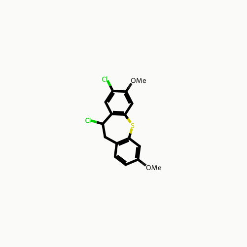 COc1ccc2c(c1)Sc1cc(OC)c(Cl)cc1C(Cl)C2